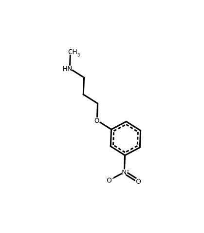 CNCCCOc1cccc([N+](=O)[O-])c1